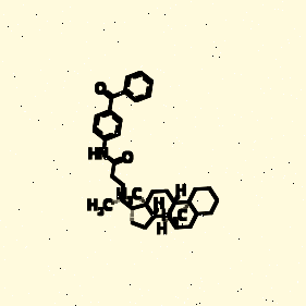 C[C@H](CCC(=O)Nc1ccc(C(=O)c2ccccc2)cc1)[C@H]1CC[C@H]2[C@@H]3CCC4CCCC[C@]4(C)[C@H]3CC[C@]12C